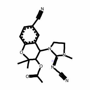 CC(=O)OC1C(N2CCN(C)/C2=N\C#N)c2cc(C#N)ccc2OC1(C)C